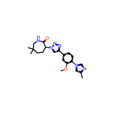 COc1cc(-c2cn(C3CCC(C)(C)CNC3=O)nn2)ccc1-n1cnc(C)c1